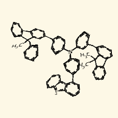 CC1(C)c2ccccc2-c2cccc(-c3cccc(N(c4ccc(-c5ccc6c(c5)C(C)(c5ccccc5)c5ccccc5-6)cc4)c4ccc(-c5cccc6sc7ccccc7c56)cc4)c3)c21